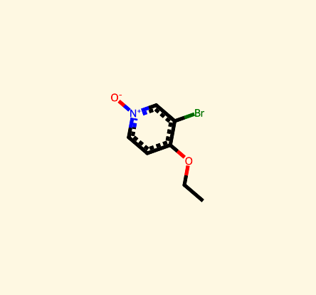 CCOc1cc[n+]([O-])cc1Br